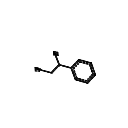 CC[C](CC(C)C)c1ccccc1